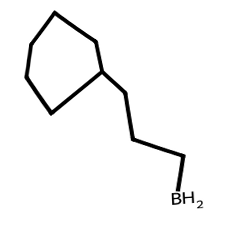 BCCCC1CCCCC1